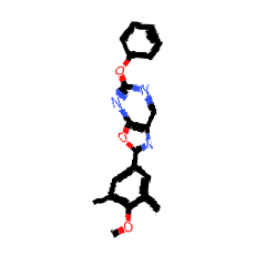 COc1c(C)cc(-c2nc3cnc(Oc4ccccc4)nc3o2)cc1C